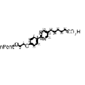 CCCCCOCCOc1ccc(-c2ncc(CCCCCC(=O)O)cn2)cc1